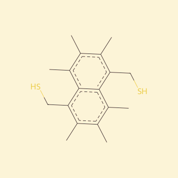 Cc1c(C)c(CS)c2c(C)c(C)c(C)c(CS)c2c1C